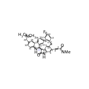 CNC(=O)C#Cc1cc2c(cc1Sc1ccc(F)cc1)/C(=C(/Nc1ccc(CN(C)C)cc1)c1ccccc1)C(=O)N2